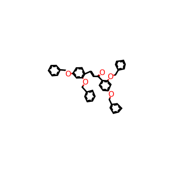 O=C(/C=C/c1ccc(OCc2ccccc2)cc1OCc1ccccc1)c1ccc(OCc2ccccc2)cc1OCc1ccccc1